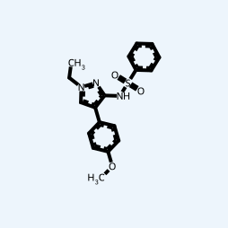 CCn1cc(-c2ccc(OC)cc2)c(NS(=O)(=O)c2ccccc2)n1